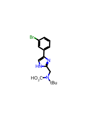 CC(C)(C)N(Cc1nc(-c2cccc(Br)c2)c[nH]1)C(=O)O